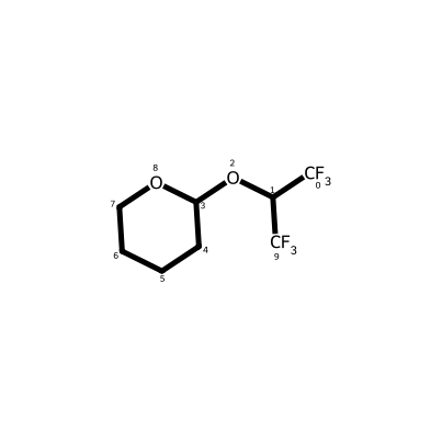 FC(F)(F)C(OC1CCCCO1)C(F)(F)F